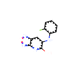 Oc1nc2nonc2cc1Nc1ccccc1F